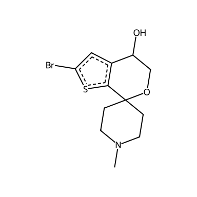 CN1CCC2(CC1)OCC(O)c1cc(Br)sc12